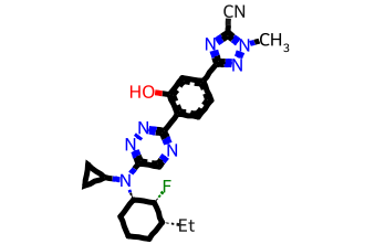 CC[C@@H]1CCC[C@H](N(c2cnc(-c3ccc(-c4nc(C#N)n(C)n4)cc3O)nn2)C2CC2)[C@@H]1F